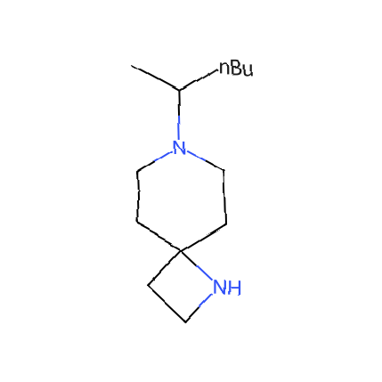 CCCCC(C)N1CCC2(CCN2)CC1